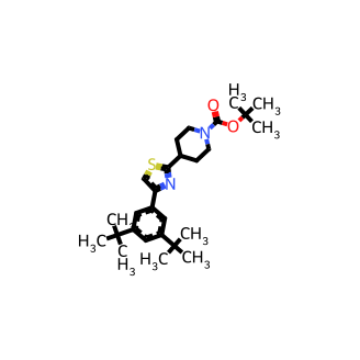 CC(C)(C)OC(=O)N1CCC(c2nc(-c3cc(C(C)(C)C)cc(C(C)(C)C)c3)cs2)CC1